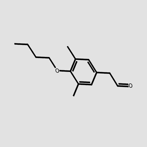 CCCCOc1c(C)cc(CC=O)cc1C